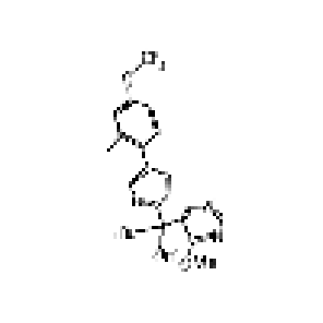 COc1ncncc1C(O)(c1ccc(-c2ccc(OC(F)(F)F)cc2C)cn1)C(C)(C)C